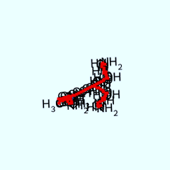 COc1cccc2c1C(=O)c1c(O)c3c(c(O)c1C2=O)C[C@@](O)(/C(CO)=N/NC(=O)CCCC(=O)NCCCOCCOCCOCCCN(CCC(=O)NCCNC(=O)CCC(NC(=O)c1ccc(NCc2cnc4c(=O)[nH]c(N)nc4n2)cc1)C(=O)O)CCC(=O)NCCNC(=O)CCC(NC(=O)c1ccc(NCc2cnc4c(=O)[nH]c(N)nc4n2)cc1)C(=O)O)C[C@H]3O[C@H]1C[C@@H](N)[C@@H](O)[C@@H](C)O1